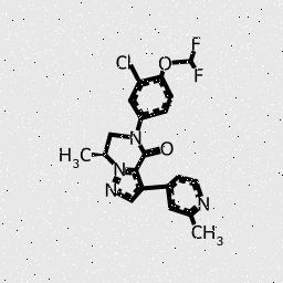 Cc1cc(-c2cnn3c2C(=O)N(c2ccc(OC(F)F)c(Cl)c2)C[C@@H]3C)ccn1